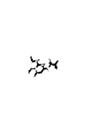 C=C(C)C(=O)OC(CCC)[SiH2]C(OCC)OCC